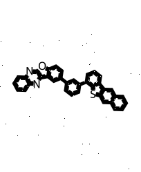 c1cc(-c2ccc3oc4nc5ccccc5nc4c3c2)cc(-c2cccc3c2sc2cc4ccccc4cc23)c1